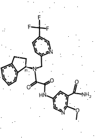 COc1ncc(NC(=O)C(=O)N(Cc2ccc(C(F)(F)F)cn2)[C@@H]2CCc3ccccc32)cc1C(N)=O